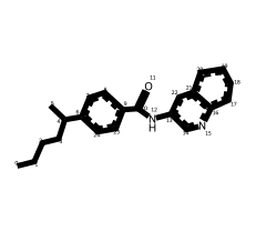 CCCCC(C)c1ccc(C(=O)Nc2cnc3ccccc3c2)cc1